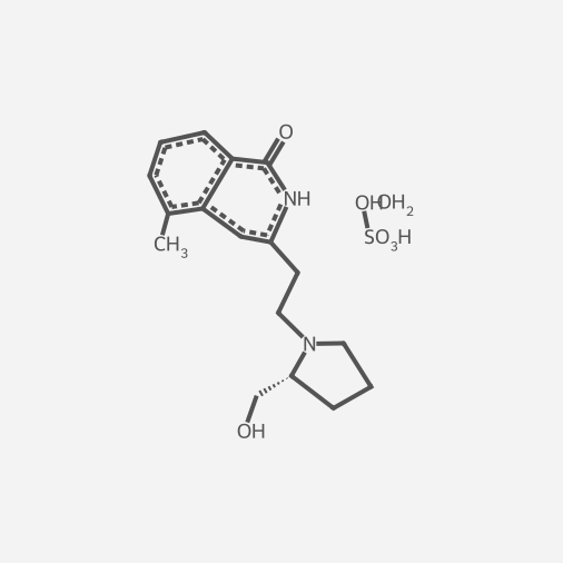 Cc1cccc2c(=O)[nH]c(CCN3CCC[C@@H]3CO)cc12.O.O=S(=O)(O)O